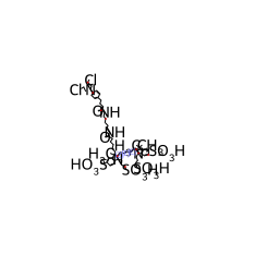 CC1(C)C(/C=C/C=C/C=C2\N(CCCS(=O)(=O)O)c3ccc(S(=O)(=O)O)cc3C2(C)CCCCCC(=O)NCCCCCNC(=O)CCCc2ccc(N(CCCl)CCCl)cc2)=[N+](CCCS(=O)(=O)O)c2ccc(S(=O)(=O)O)cc21